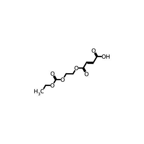 CCOC(=O)OCCOC(=O)C=CC(=O)O